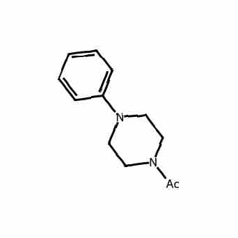 CC(=O)N1CCN(c2ccccc2)CC1